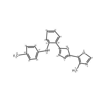 Cc1ncoc1-c1nnc(-c2ccccc2Nc2ccc(C(F)(F)F)cc2)o1